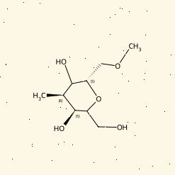 COC[C@@H]1OC(CO)[C@@H](O)[C@@H](C)C1O